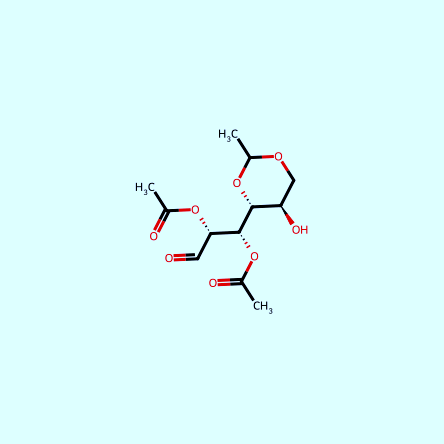 CC(=O)O[C@@H]([C@@H]1OC(C)OC[C@H]1O)[C@H](C=O)OC(C)=O